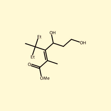 CCC(C)(CC)C(=C(C)C(=O)OC)C(O)CCO